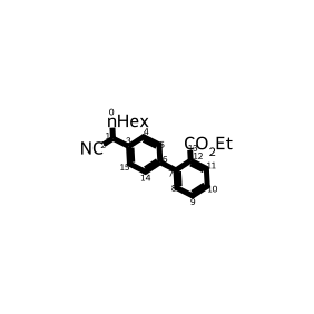 CCCCCCC(C#N)c1ccc(-c2ccccc2C(=O)OCC)cc1